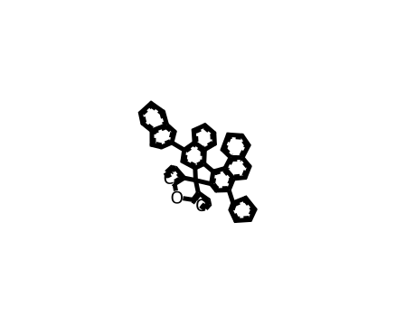 c1ccc(-c2cc3c(c4c2ccc2ccccc24)-c2c(cc(-c4ccc5ccccc5c4)c4ccccc24)C32c3ccccc3Oc3ccccc32)cc1